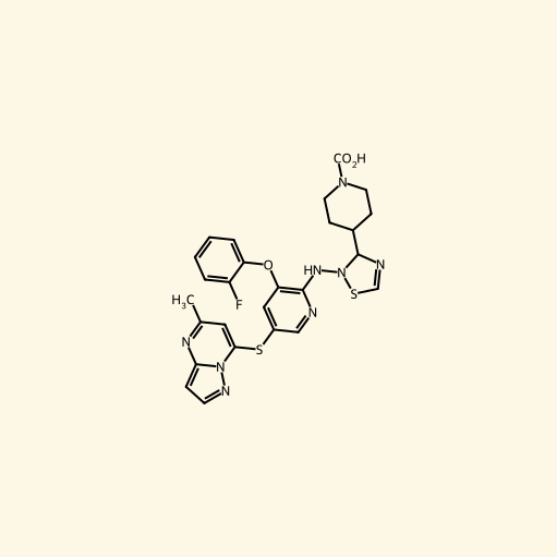 Cc1cc(Sc2cnc(NN3SC=NC3C3CCN(C(=O)O)CC3)c(Oc3ccccc3F)c2)n2nccc2n1